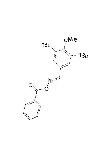 COc1c(C(C)(C)C)cc(C=NOC(=O)c2ccccc2)cc1C(C)(C)C